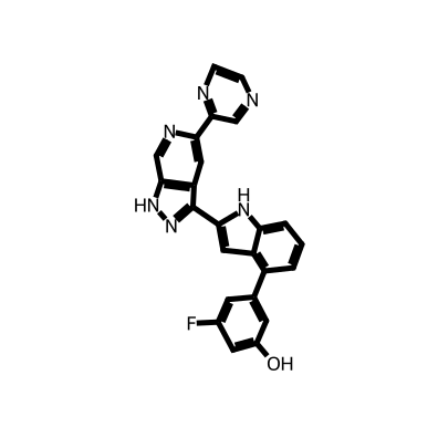 Oc1cc(F)cc(-c2cccc3[nH]c(-c4n[nH]c5cnc(-c6cnccn6)cc45)cc23)c1